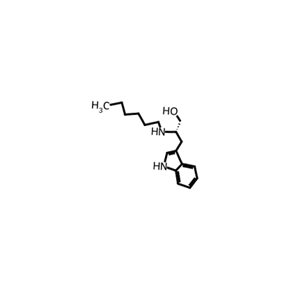 CCCCCCN[C@H](CO)Cc1c[nH]c2ccccc12